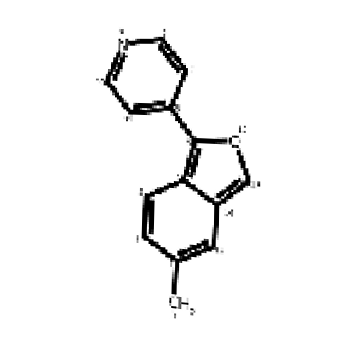 Cc1ccc2c(-c3ccncc3)occ2c1